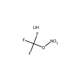 O=[N+]([O-])OC(F)(F)F.[LiH]